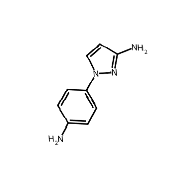 Nc1ccc(-n2ccc(N)n2)cc1